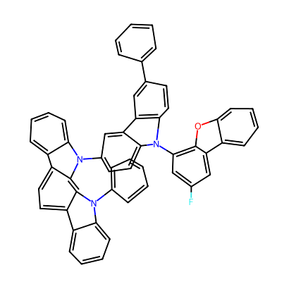 Fc1cc(-n2c3ccc(-c4ccccc4)cc3c3cc(-n4c5ccccc5c5ccc6c7ccccc7n(-c7ccccc7)c6c54)ccc32)c2oc3ccccc3c2c1